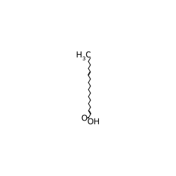 CCCCCC=CCCCCCCCCCC=CC(=O)O